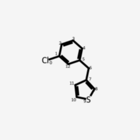 Clc1cccc(Cc2[c]scc2)c1